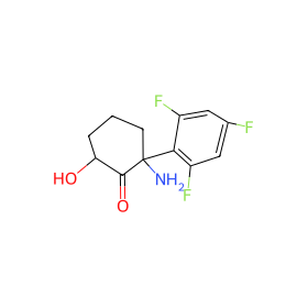 NC1(c2c(F)cc(F)cc2F)CCCC(O)C1=O